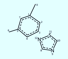 Cc1cccc(C)c1.c1ncsn1